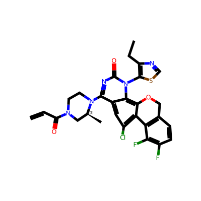 C=CC(=O)N1CCN(c2nc(=O)n(-c3scnc3CC)c3c4c(c(Cl)cc23)-c2c(ccc(F)c2F)CO4)[C@@H](C)C1